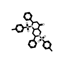 Cc1ccc(S(=O)(=O)N2CC3C(=O)CC(c4ccccc4)N(S(=O)(=O)c4ccc(C)cc4)C3CC2c2ccccc2)cc1